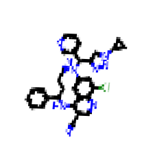 N#CCCC(Nc1c(C#N)cnc2c(Cl)cc(NC(c3cccnc3)c3cn(C4CC4)nn3)cc12)c1ccccc1